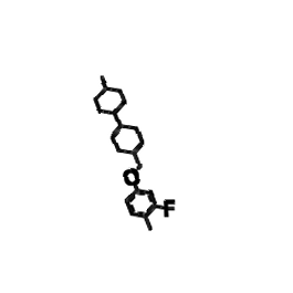 Cc1ccc(OCC2CCC(C3CCC(C)CC3)CC2)cc1F